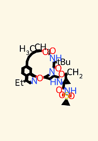 C=CC1CC1(NC(=O)C1CC2CN1C(=O)C(C(C)(C)C)NC(=O)OCC(C)(C)CCCc1ccc3c(CC)cnc(c3c1)O2)C(=O)NS(=O)(=O)C1CC1